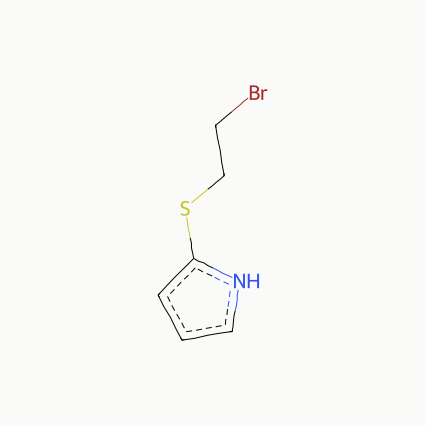 BrCCSc1ccc[nH]1